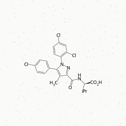 Cc1c(C(=O)N[C@@H](C(=O)O)C(C)C)nn(-c2ccc(Cl)cc2Cl)c1-c1ccc(Cl)cc1